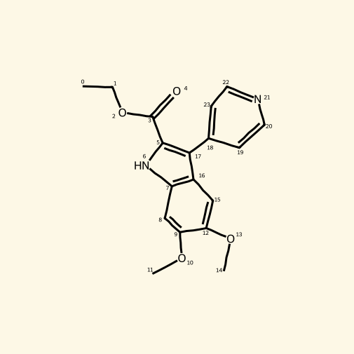 CCOC(=O)c1[nH]c2cc(OC)c(OC)cc2c1-c1ccncc1